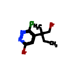 CC[Si](C)(CBr)c1cc(Br)nnc1Cl